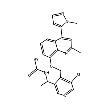 Cc1cc(-c2ccnn2C)c2cccc(OCc3c(Cl)cncc3C(C)NC(=O)C(C)C)c2n1